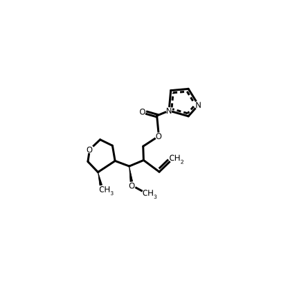 C=CC(COC(=O)n1ccnc1)[C@@H](OC)C1CCOC[C@@H]1C